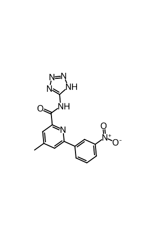 Cc1cc(C(=O)Nc2nnn[nH]2)nc(-c2cccc([N+](=O)[O-])c2)c1